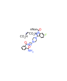 CCCCCCCCCC(=O)n1nc(N2CCN(CCNC(=O)c3ccccc3C(N)=O)CC2)c2ccc(F)cc21.O=C(O)/C=C\C(=O)O